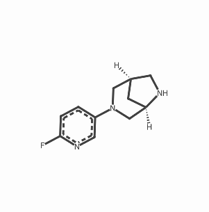 Fc1ccc(N2C[C@H]3CN[C@H](C3)C2)cn1